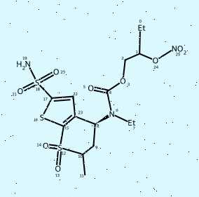 CCC(COC(=O)N(CC)[C@H]1CC(C)S(=O)(=O)c2sc(S(N)(=O)=O)cc21)O[N+](=O)[O-]